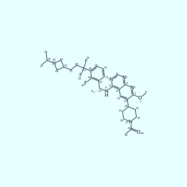 COc1nc2ncnc(N[C@H](C)c3cccc(C(F)(F)CCC4CN(C(C)C)C4)c3F)c2cc1C1CCN(C(C)=O)CC1